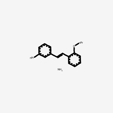 CCCOc1ccccc1C=Cc1cccc(CCC)c1.N